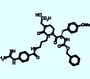 COc1ccc(C[C@H](NC(=O)OCc2ccccc2)C(=O)N2CCN(CC(=O)O)C(=O)[C@@H]2CCCNC(=O)c2ccc(NC(=N)N)cc2)cc1.Cl